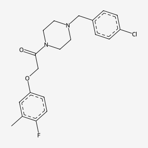 Cc1cc(OCC(=O)N2CCN(Cc3ccc(Cl)cc3)CC2)ccc1F